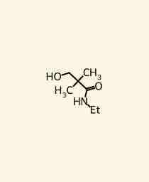 CCNC(=O)C(C)(C)CO